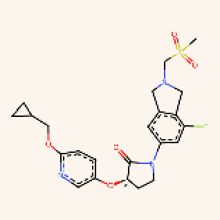 CS(=O)(=O)CN1Cc2cc(N3CC[C@@H](Oc4ccc(OCC5CC5)nc4)C3=O)cc(F)c2C1